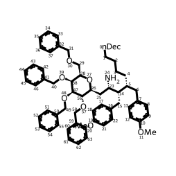 CCCCCCCCCCCCCC[C@H](Cc1ccc(OC)cc1)[C@H](Cc1ccc(OC)cc1)[C@@H](N)C[C@@H]1O[C@H](COCc2ccccc2)[C@H](OCc2ccccc2)[C@H](OCc2ccccc2)[C@H]1OCc1ccccc1